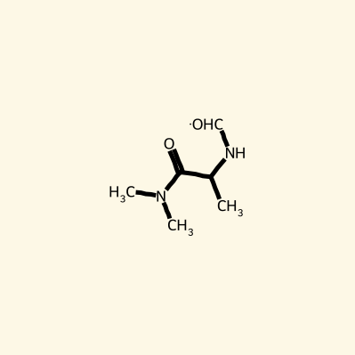 CC(N[C]=O)C(=O)N(C)C